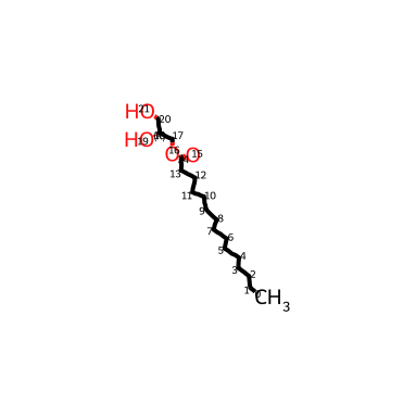 CCCCCCCCCCCCCCC(=O)OC[C@H](O)CO